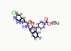 CC(C)(C)OC(=O)N1CCC(NC(=O)[C@H](Cc2ccc(F)cc2)NC(=O)c2cc3cc(Cl)ncc3[nH]2)CC1